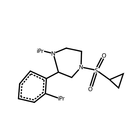 CC(C)c1ccccc1C1CN(S(=O)(=O)C2CC2)CCN1C(C)C